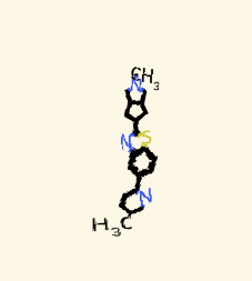 C[C@H]1CCC(c2ccc3sc(C4CC5CN(C)CC5C4)nc3c2)=NC1